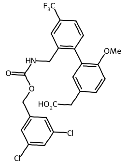 COc1ccc(CC(=O)O)cc1-c1ccc(C(F)(F)F)cc1CNC(=O)OCc1cc(Cl)cc(Cl)c1